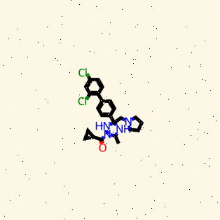 CC1NC(CN2CCCC2)(c2ccc(-c3ccc(Cl)cc3Cl)cc2)NN1C(=O)C1CC1